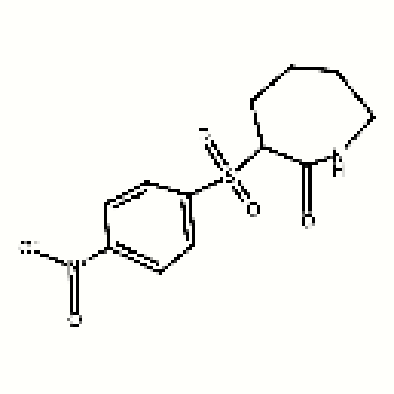 O=C1NCCCCC1S(=O)(=O)c1ccc([N+](=O)[O-])cc1